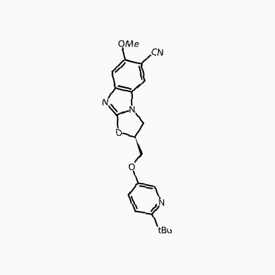 COc1cc2nc3n(c2cc1C#N)C[C@@H](COc1ccc(C(C)(C)C)nc1)O3